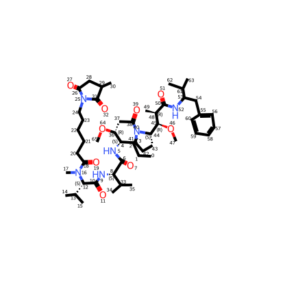 CC[C@H](C)[C@H](NC(=O)[C@@H](NC(=O)[C@H](C(C)C)N(C)C(=O)CCCCCN1C(=O)CC(C)C1=O)C(C)C)[C@@H](CC(=O)N1CCC[C@H]1[C@H](OC)[C@@H](C)C(=O)NC(Cc1ccccc1)C(C)C)OC